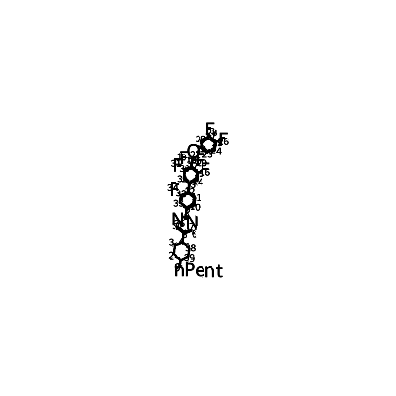 CCCCCC1CCC(c2cnc(-c3ccc(-c4cc(F)c(C(F)(F)Oc5ccc(F)c(F)c5)c(F)c4)c(F)c3)nc2)CC1